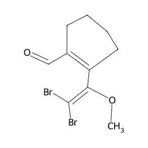 COC(=C(Br)Br)C1=C(C=O)CCCC1